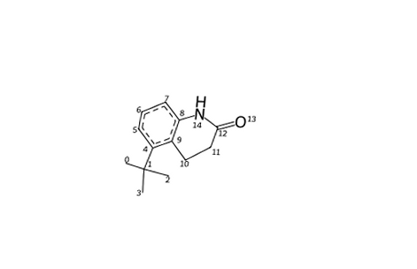 CC(C)(C)c1cccc2c1CCC(=O)N2